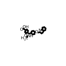 CC(=O)NC(c1ccc(OCc2ccc3ccccc3n2)cc1)c1ccc(C(=O)O)cc1